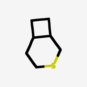 C1CC2CCC2CS1